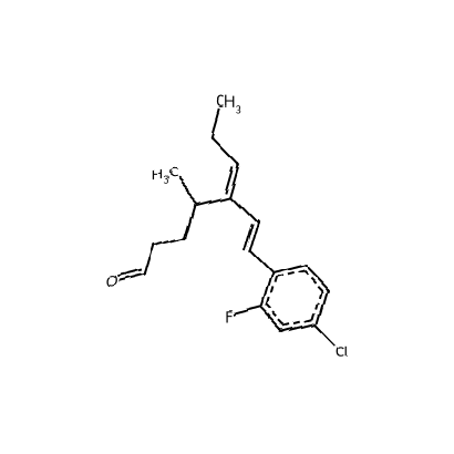 CC/C=C(/C=C/c1ccc(Cl)cc1F)C(C)CCC=O